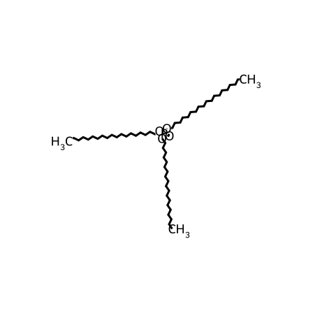 CCCCCCCCCCCCCCCCCCCOP(=O)(OCCCCCCCCCCCCCCCCCCC)OCCCCCCCCCCCCCCCCCCC